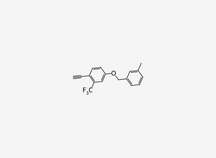 C#Cc1ccc(OCc2cccc(C)c2)cc1C(F)(F)F